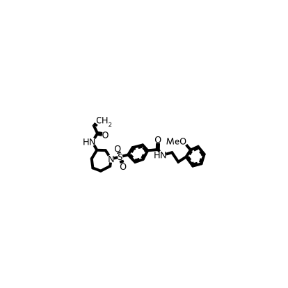 C=CC(=O)NC1CCCCN(S(=O)(=O)c2ccc(C(=O)NCCc3ccccc3OC)cc2)C1